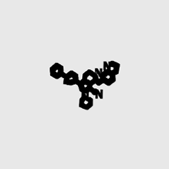 N#Cc1c(N2CCCCC2)cc(-c2ccc(-c3ccccc3)cc2)c2c1-c1cc3ccc4cccnc4c3nc1CC2